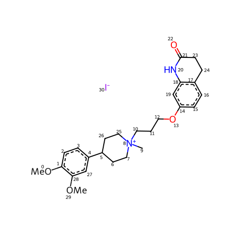 COc1ccc(C2CC[N+](C)(CCCOc3ccc4c(c3)NC(=O)CC4)CC2)cc1OC.[I-]